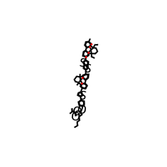 C=C(C)C(=O)OC(CCCCCC)Oc1ccc(-c2ccc(-c3ccc4c(c3)C3(c5cc(-c6cc7sc(-c8ccc9c(c8)C8(c%10cc(C)ccc%10-9)C(CC)(CC)CCCC8(CC)CC)cc7s6)ccc5-4)C(C)(C)CCCC3(C)C)s2)cc1